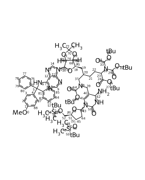 COc1ccc(C(Nc2ncnc3c2ncn3[C@@H]2O[C@H](CC(CCC(C(=O)OC(C)(C)C)N(C(=O)OC(C)(C)C)C(=O)OC(C)(C)C)CN(CC3=CN([C@H]4C[C@H](O[Si](C)(C)C(C)(C)C)[C@@H](CO[Si](C)(C)C(C)(C)C)O4)C(=O)NC3N)C(=O)OC(C)(C)C)[C@H]3OC(C)(C)O[C@H]32)(c2ccccc2)c2ccccc2)cc1